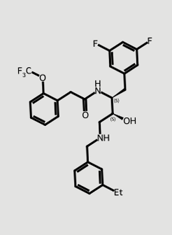 CCc1cccc(CNC[C@H](O)[C@H](Cc2cc(F)cc(F)c2)NC(=O)Cc2ccccc2OC(F)(F)F)c1